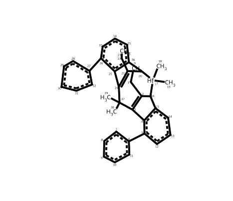 CCC1=C2c3c(-c4ccccc4)cccc3[CH]1[Hf]([CH3])([CH3])[CH]1C(CC)=C(c3c(-c4ccccc4)cccc31)C2(C)C